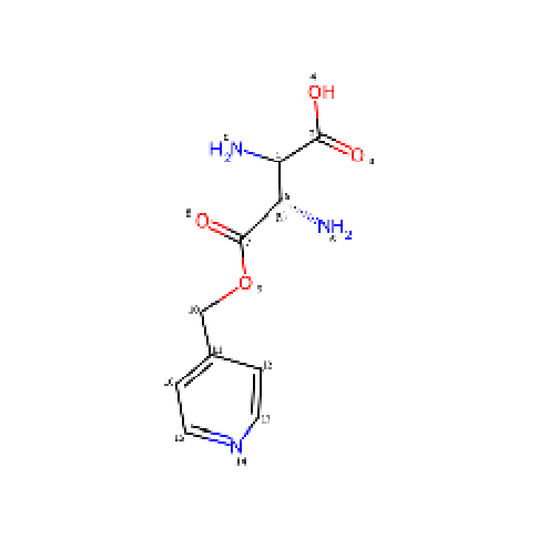 NC(C(=O)O)[C@H](N)C(=O)OCc1ccncc1